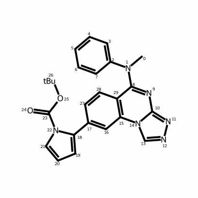 CN(c1ccccc1)c1nc2nncn2c2cc(-c3cccn3C(=O)OC(C)(C)C)ccc12